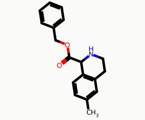 Cc1ccc2c(c1)CCNC2C(=O)OCc1ccccc1